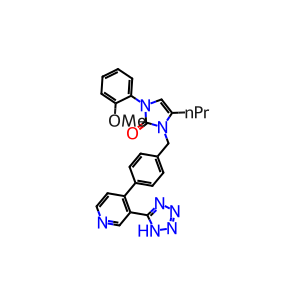 CCCc1cn(-c2ccccc2OC)c(=O)n1Cc1ccc(-c2ccncc2-c2nnn[nH]2)cc1